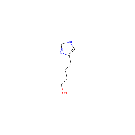 OCCCCc1c[nH]cn1